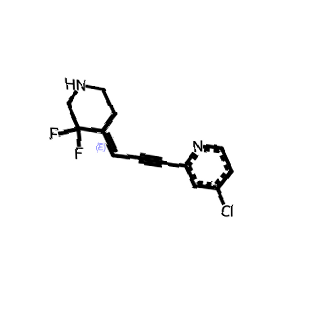 FC1(F)CNCC/C1=C\C#Cc1cc(Cl)ccn1